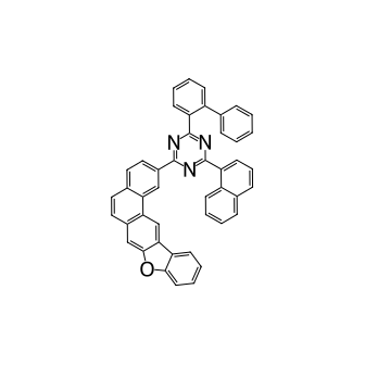 c1ccc(-c2ccccc2-c2nc(-c3ccc4ccc5cc6oc7ccccc7c6cc5c4c3)nc(-c3cccc4ccccc34)n2)cc1